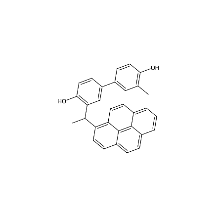 Cc1cc(-c2ccc(O)c(C(C)c3ccc4ccc5cccc6ccc3c4c56)c2)ccc1O